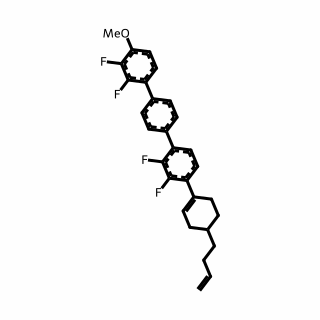 C=CCCC1CC=C(c2ccc(-c3ccc(-c4ccc(OC)c(F)c4F)cc3)c(F)c2F)CC1